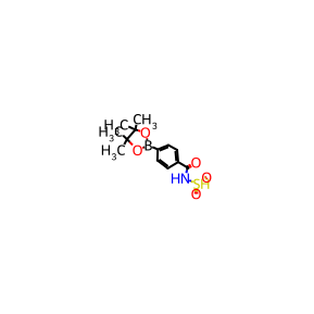 CC1(C)OB(c2ccc(C(=O)N[SH](=O)=O)cc2)OC1(C)C